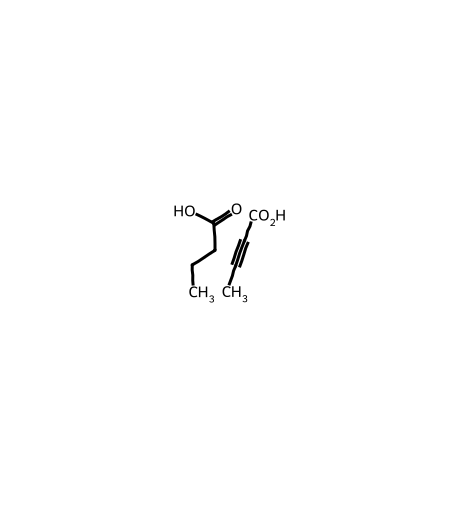 CC#CC(=O)O.CCCC(=O)O